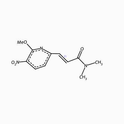 COc1nc(/C=C/C(=O)N(C)C)ccc1[N+](=O)[O-]